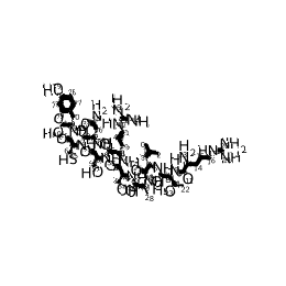 CC(C)C[C@H](NC(=O)[C@@H](NC(=O)[C@@H](N)CCCNC(=N)N)[C@@H](C)O)C(=O)N[C@@H](C)C(=O)N[C@@H](CO)C(=O)N[C@@H](CCCNC(=N)N)C(=O)N[C@@H](CO)C(=O)N[C@@H](CC(N)=O)C(=O)N[C@@H](CS)C(=O)N[C@@H](Cc1ccc(O)cc1)C(=O)O